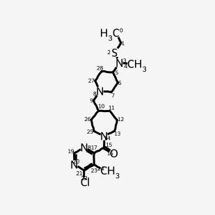 CCSN(C)C1CCN(CC2CCCN(C(=O)c3ncnc(Cl)c3C)CC2)CC1